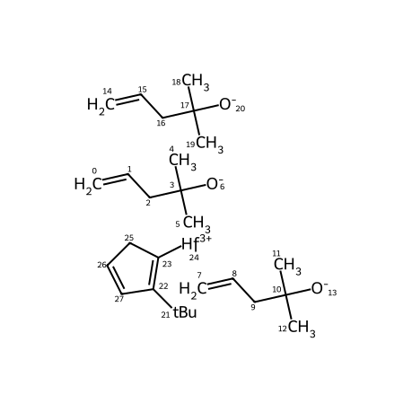 C=CCC(C)(C)[O-].C=CCC(C)(C)[O-].C=CCC(C)(C)[O-].CC(C)(C)C1=[C]([Hf+3])CC=C1